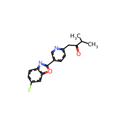 CC(C)C(=O)Cc1ccc(-c2nc3ccc(F)cc3o2)cn1